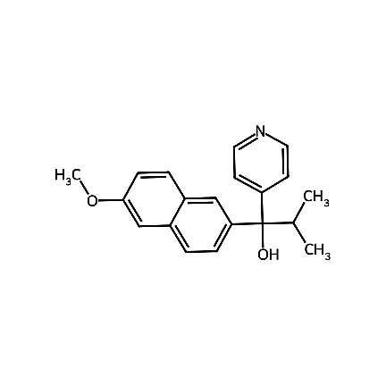 COc1ccc2cc(C(O)(c3ccncc3)C(C)C)ccc2c1